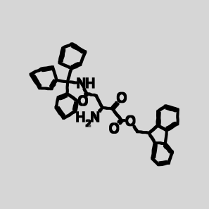 N[C@@H](CC(=O)NC(c1ccccc1)(c1ccccc1)c1ccccc1)C(=O)C(=O)OCC1c2ccccc2-c2ccccc21